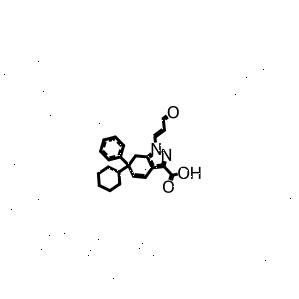 O=CC=Cn1nc(C(=O)O)c2c1CC(c1ccccc1)(C1CCCCC1)C=C2